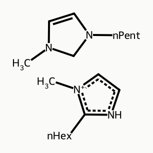 CCCCCCc1[nH]cc[n+]1C.CCCCCN1C=CN(C)C1